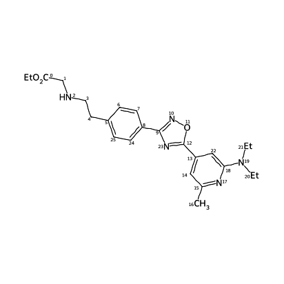 CCOC(=O)CNCCc1ccc(-c2noc(-c3cc(C)nc(N(CC)CC)c3)n2)cc1